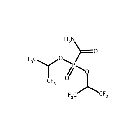 NC(=O)P(=O)(OC(C(F)(F)F)C(F)(F)F)OC(C(F)(F)F)C(F)(F)F